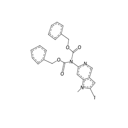 Cn1c(I)cc2cnc(N(C(=O)OCc3ccccc3)C(=O)OCc3ccccc3)cc21